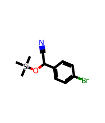 C[Si](C)(C)OC(C#N)c1ccc(Br)cc1